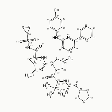 C=C[C@@H]1C[C@]1(NC(=O)[C@@H]1C[C@@H](Oc2cc(-c3ccccc3)nc(Nc3ccc(F)cc3)n2)CN1C(=O)[C@@H](NC(=O)OC1CCCC1)C(C)(C)C)C(=O)NS(=O)(=O)C1CC1